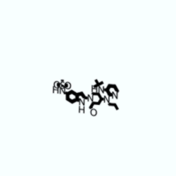 CCCN(c1ncccc1NC(C)(C)C)C1CCN(c2cc3cc(NS(C)(=O)=O)ccc3[nH]2)C(C=O)C1